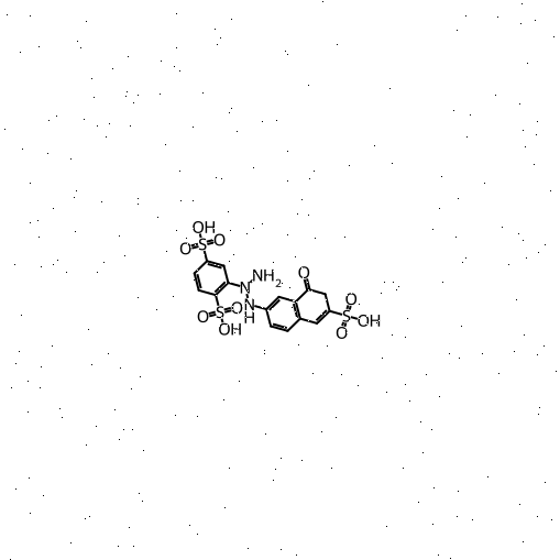 NN(Nc1ccc2c(c1)C(=O)CC(S(=O)(=O)O)=C2)c1cc(S(=O)(=O)O)ccc1S(=O)(=O)O